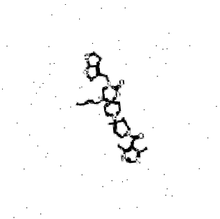 CCCC[C@H]1CN(CC2COC3OCCC23)C(=O)OC12CCN(C1(C)CCN(C(=O)c3c(C)ncnc3C)CC1)CC2